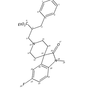 CCOC(=O)C(Cc1ccccc1)CN1CCC2(CC1)C(=O)N(C)c1ccc(F)cc12